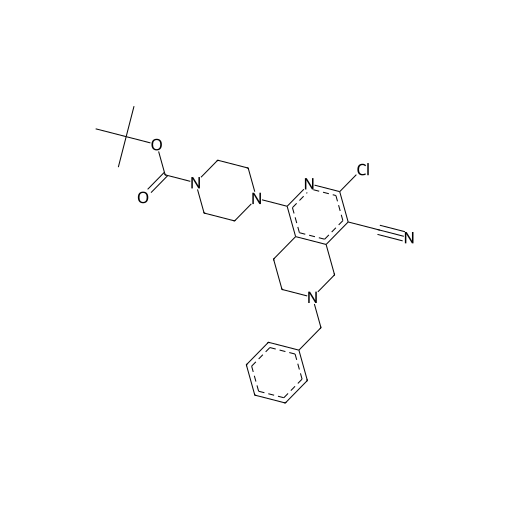 CC(C)(C)OC(=O)N1CCN(c2nc(Cl)c(C#N)c3c2CCN(Cc2ccccc2)C3)CC1